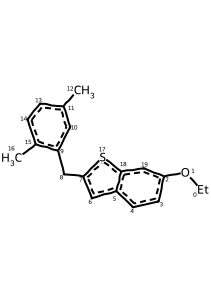 CCOc1ccc2cc(Cc3cc(C)ccc3C)sc2c1